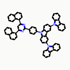 c1ccc2c(-c3cc(-c4cccc5ccccc45)nc(-c4ccc(-n5c6ccc(-n7c8ccccc8c8ccccc87)cc6c6cc(-n7c8ccccc8c8ccccc87)ccc65)cc4)n3)cccc2c1